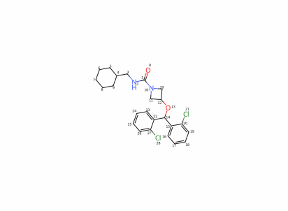 O=C(NCC1CCCCC1)N1CC(OC(c2ccccc2Cl)c2ccccc2Cl)C1